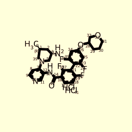 C[C@@H]1C[C@H](N)CN(c2ccncc2NC(=O)c2ccc(F)c(-c3c(F)cc(OC4CCCOC4)cc3F)c2F)C1.Cl.Cl